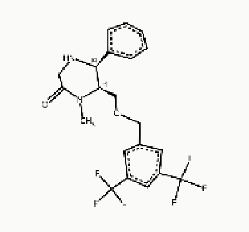 CN1C(=O)CN[C@@H](c2ccccc2)[C@H]1COCc1cc(C(F)(F)F)cc(C(F)(F)F)c1